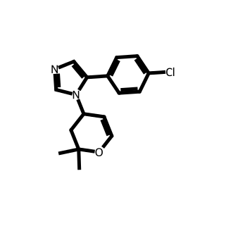 CC1(C)CC(n2cncc2-c2ccc(Cl)cc2)C=CO1